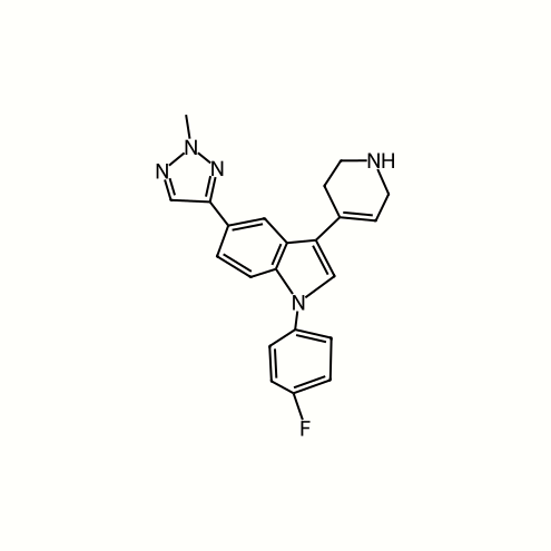 Cn1ncc(-c2ccc3c(c2)c(C2=CCNCC2)cn3-c2ccc(F)cc2)n1